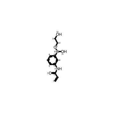 C=CC(=O)Nc1cccc(B(O)OCCO)c1